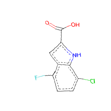 O=C(O)c1cc2c(F)ccc(Cl)c2[nH]1